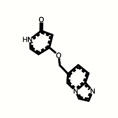 O=c1cc(OCc2ccc3nccn3c2)cc[nH]1